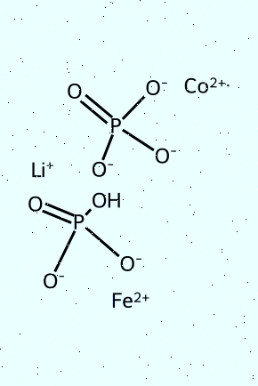 O=P([O-])([O-])O.O=P([O-])([O-])[O-].[Co+2].[Fe+2].[Li+]